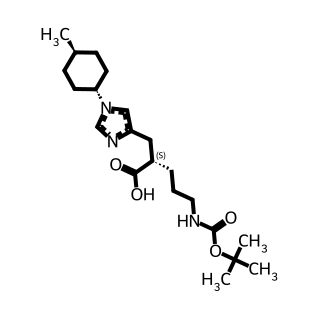 CC(C)(C)OC(=O)NCCC[C@@H](Cc1cn([C@H]2CC[C@H](C)CC2)cn1)C(=O)O